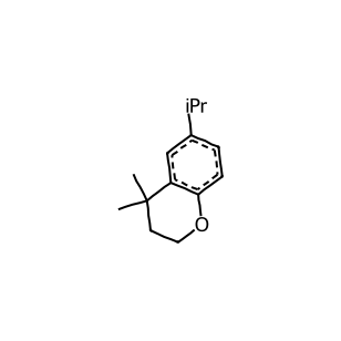 CC(C)c1ccc2c(c1)C(C)(C)CCO2